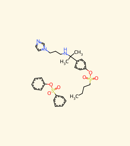 CCCCS(=O)(=O)Oc1ccc(C(C)(C)NCCCn2ccnc2)cc1.O=S(=O)(Oc1ccccc1)c1ccccc1